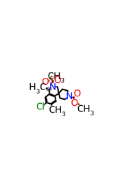 CCOC(=O)N1CCC2(CC1)CN(S(C)(=O)=O)[C@H](C)c1cc(Cl)c(C)cc12